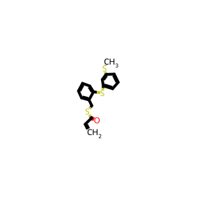 C=CC(=O)SCc1ccccc1Sc1cccc(SC)c1